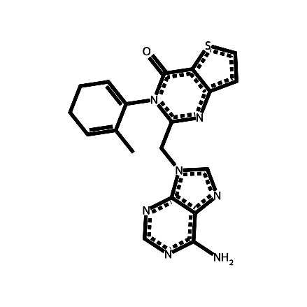 CC1=CCCC=C1n1c(Cn2cnc3c(N)ncnc32)nc2ccsc2c1=O